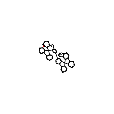 c1ccc2c(c1)-c1ccccc1C21c2cc(-c3ccc4c(c3)C3(c5ccccc5-4)c4ccccc4-c4ccc5ccccc5c43)ccc2Oc2ccc3ccccc3c21